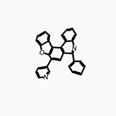 c1ccc(-c2nc3ccccc3c3c2cc(-c2cccnc2)c2oc4ccccc4c23)cc1